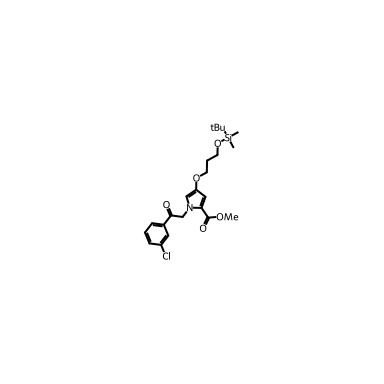 COC(=O)c1cc(OCCCO[Si](C)(C)C(C)(C)C)cn1CC(=O)c1cccc(Cl)c1